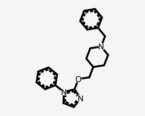 c1ccc(CN2CCC(COc3nccn3-c3ccccc3)CC2)cc1